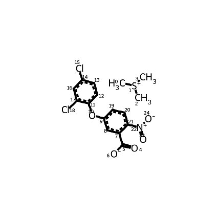 C[S+](C)C.O=C([O-])c1cc(Oc2ccc(Cl)cc2Cl)ccc1[N+](=O)[O-]